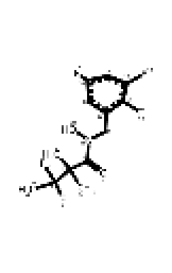 CC(F)(F)C(C)(C)C(=O)N(O)Cc1cc(F)cc(F)c1F